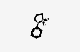 O=S1(=O)CCCN1c1[c]cccc1